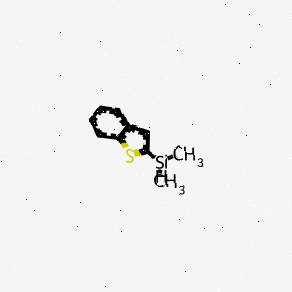 C[SiH](C)c1cc2ccccc2s1